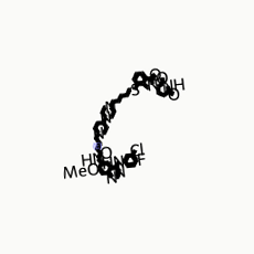 COc1cc2ncnc(Nc3ccc(F)c(Cl)c3)c2cc1NC(=O)/C=C/CN1CCC(N2CCN(CCCCCSc3cccc4c3CN(C3CCC(=O)NC3=O)C4=O)CC2)CC1